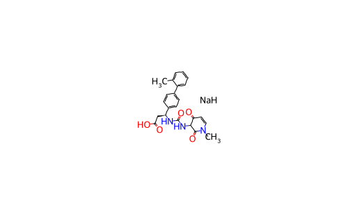 Cc1ccccc1-c1ccc([C@H](CC(=O)O)NC(=O)NC2C(=O)C=CN(C)C2=O)cc1.[NaH]